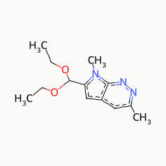 CCOC(OCC)c1cc2cc(C)nnc2n1C